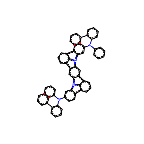 c1ccc(-c2ccccc2N(c2ccccc2)c2ccc3c4cccc5c6cc7c(cc6n(c3c2)c45)c2cccc3c4ccc(N(c5ccccc5)c5ccccc5-c5ccccc5)cc4n7c32)cc1